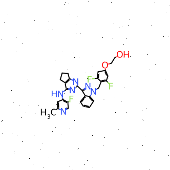 Cc1cc(Nc2nc(-c3nn(Cc4c(F)cc(OCCO)cc4F)c4ccccc34)nc3c2CCC3)c(F)cn1